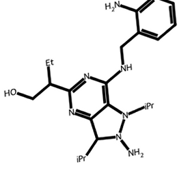 CCC(CO)c1nc(NCc2ccccc2N)c2c(n1)C(C(C)C)N(N)N2C(C)C